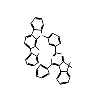 CC1(C)c2ccccc2-c2c(-c3ccccc3)nc(-c3cccc(-n4c5ccccc5c5ccc6c7ccccc7sc6c54)c3)nc21